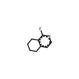 Fc1n[c]cc2c1C[CH]CC2